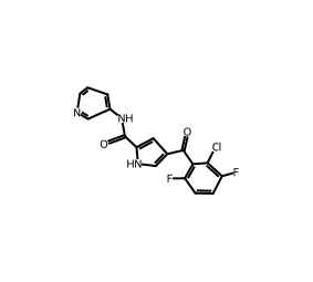 O=C(Nc1cccnc1)c1cc(C(=O)c2c(F)ccc(F)c2Cl)c[nH]1